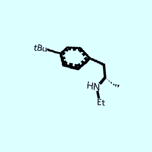 CCN[C@@H](C)Cc1ccc(C(C)(C)C)cc1